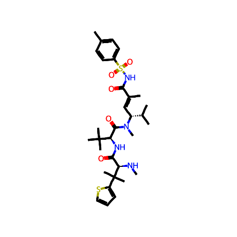 CN[C@H](C(=O)N[C@H](C(=O)N(C)[C@H](/C=C(\C)C(=O)NS(=O)(=O)c1ccc(C)cc1)C(C)C)C(C)(C)C)C(C)(C)c1cccs1